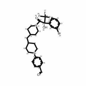 O=Cc1ccc(N2CCC(CC3CCN(C(=O)[C@](O)(c4cccc(Br)c4)C(F)(F)F)CC3)CC2)cc1